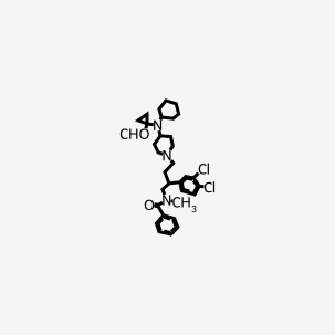 CN(CC(CCN1CCC(N(C2CCCCC2)C2(C=O)CC2)CC1)c1ccc(Cl)c(Cl)c1)C(=O)c1ccccc1